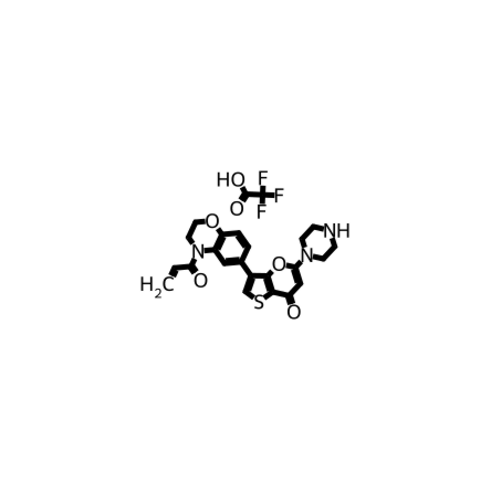 C=CC(=O)N1CCOc2ccc(-c3csc4c(=O)cc(N5CCNCC5)oc34)cc21.O=C(O)C(F)(F)F